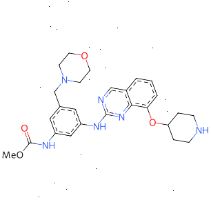 COC(=O)Nc1cc(CN2CCOCC2)cc(Nc2ncc3cccc(OC4CCNCC4)c3n2)c1